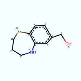 OCc1ccc2c(c1)NCCCS2